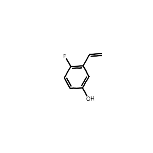 C=Cc1cc(O)ccc1F